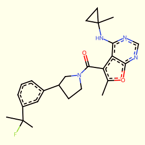 Cc1oc2ncnc(NC3(C)CC3)c2c1C(=O)N1CCC(c2cccc(C(C)(C)F)c2)C1